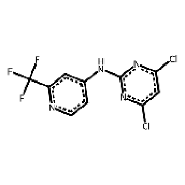 FC(F)(F)c1cc(Nc2nc(Cl)cc(Cl)n2)ccn1